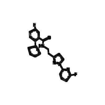 O=C(NCCc1ccn(-c2cccc(F)n2)n1)c1cc(F)ccc1-c1ccccn1